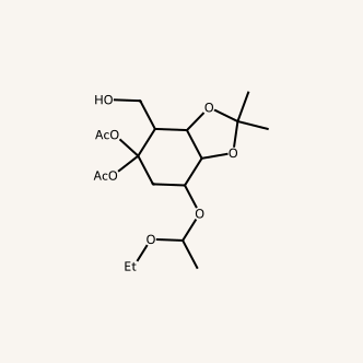 CCOC(C)OC1CC(OC(C)=O)(OC(C)=O)C(CO)C2OC(C)(C)OC12